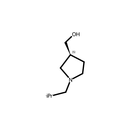 C[C](C)CN1CC[C@H](CO)C1